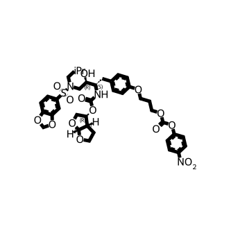 CC(C)CN(C[C@@H](O)[C@H](Cc1ccc(OCCCOC(=O)Oc2ccc([N+](=O)[O-])cc2)cc1)NC(=O)O[C@H]1CO[C@H]2OCC[C@H]21)S(=O)(=O)c1ccc2c(c1)OCO2